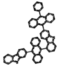 c1ccc(-c2c3ccccc3c(-c3ccc4c(c3)sc3cccc(-c5c6ccccc6c(-c6ccc7c(c6)sc6ccccc67)c6ccccc56)c34)c3ccccc23)cc1